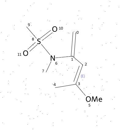 C=C(/C=C(\C)OC)N(C)S(C)(=O)=O